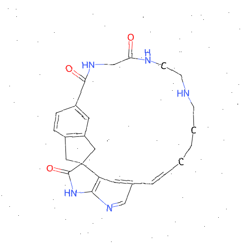 O=C1CNC(=O)c2ccc3c(c2)CC2(C3)C(=O)Nc3ncc(cc32)C=CCCCCNCCN1